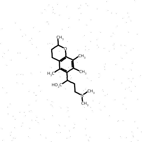 Cc1c(C)c(C(CCN(C)C)C(=O)O)c(C)c2c1OC(C)CC2